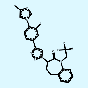 Cc1cn(-c2ccc(-c3cn(C4CCc5ccccc5N(CC(F)(F)F)C4=O)nn3)cc2F)cn1